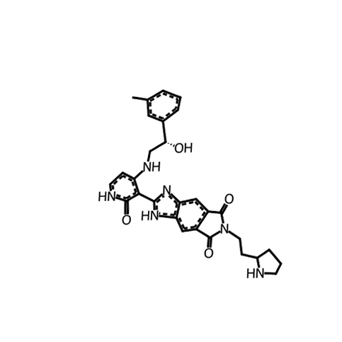 Cc1cccc([C@H](O)CNc2cc[nH]c(=O)c2-c2nc3cc4c(cc3[nH]2)C(=O)N(CCC2CCCN2)C4=O)c1